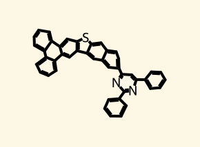 c1ccc(-c2cc(-c3ccc4cc5sc6cc7c8ccccc8c8ccccc8c7cc6c5cc4c3)nc(-c3ccccc3)n2)cc1